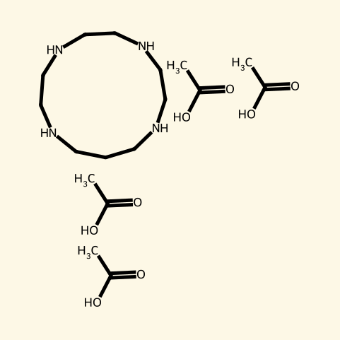 C1CNCCNCCNCCNC1.CC(=O)O.CC(=O)O.CC(=O)O.CC(=O)O